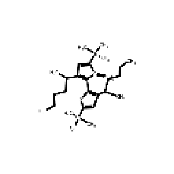 CCCCC(C)C1=C(c2s[c]([Sn]([CH3])([CH3])[CH3])cc2C(C)CCCC)S(=[SiH2])[C]([Sn]([CH3])([CH3])[CH3])=C1